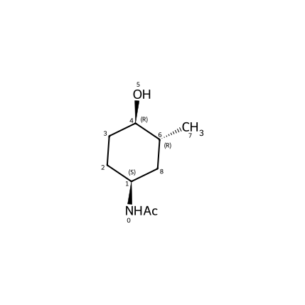 CC(=O)N[C@H]1CC[C@@H](O)[C@H](C)C1